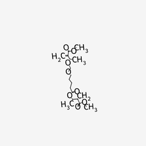 C=C(C(=O)OC)C(C)OCOCCCCC(=O)OC(C)C(=C)C(=O)OC